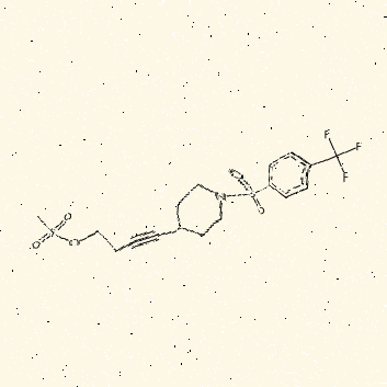 CS(=O)(=O)OCCC#CC1CCN(S(=O)(=O)c2ccc(C(F)(F)F)cc2)CC1